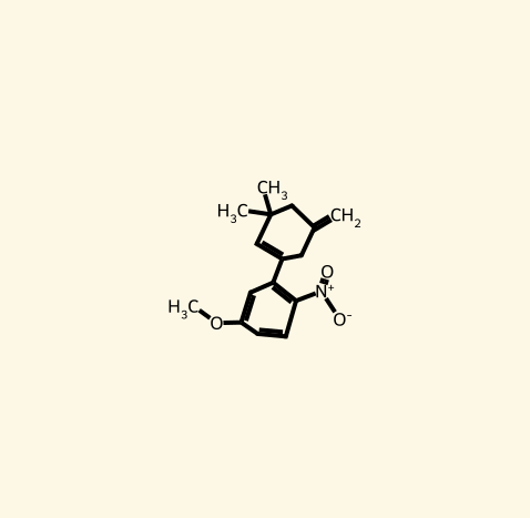 C=C1CC(c2cc(OC)ccc2[N+](=O)[O-])=CC(C)(C)C1